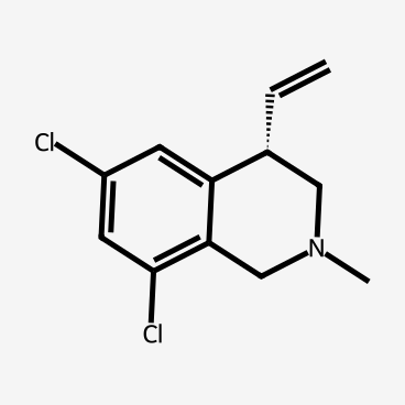 C=C[C@@H]1CN(C)Cc2c(Cl)cc(Cl)cc21